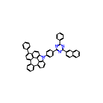 c1ccc(-c2nc(-c3ccc(-n4c5cccc6c5c5c7c(ccc(-c8ccccc8)c7ccc54)-c4ccccc4-6)cc3)nc(-c3ccc4ccccc4c3)n2)cc1